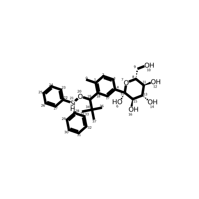 Cc1ccc([C@@]2(O)O[C@H](CO)[C@@H](O)[C@H](O)[C@H]2O)cc1C(O[SiH](c1ccccc1)c1ccccc1)C(C)(C)C